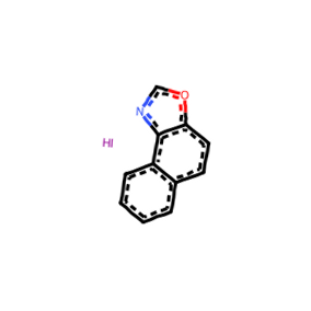 I.c1ccc2c(c1)ccc1ocnc12